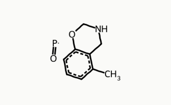 Cc1cccc2c1CNCO2.O=[P]